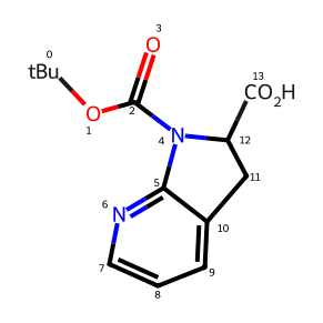 CC(C)(C)OC(=O)N1c2ncccc2CC1C(=O)O